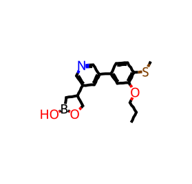 CCCOc1cc(-c2cncc(C3COB(O)C3)c2)ccc1SC